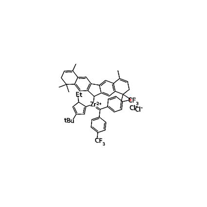 CCC1C=C(C(C)(C)C)C=[C]1[Zr+2](=[C](c1ccc(C(F)(F)F)cc1)c1ccc(C(F)(F)F)cc1)[CH]1c2cc3c(cc2-c2cc4c(cc21)C(C)(C)CC=C4C)C(C)=CCC3(C)C.[Cl-].[Cl-]